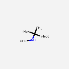 CCCCCCCC(C)(CCCCCC)NC=O